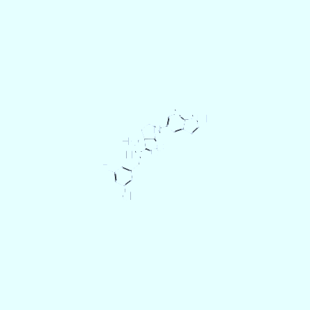 O=C(NCc1cc(F)cc(Cl)c1)[C@@]1(O)CCN(c2cnc3[nH]ccc3c2)C1=O